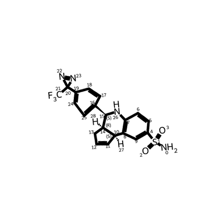 NS(=O)(=O)c1ccc2c(c1)[C@H]1C=CC[C@H]1[C@@H](c1ccc(C3(C(F)(F)F)N=N3)cc1)N2